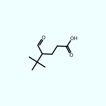 CC(C)(C)C(C=O)CCC(=O)O